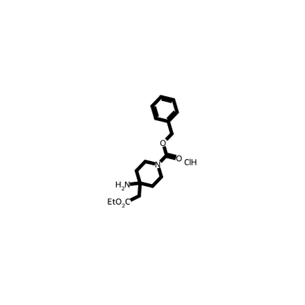 CCOC(=O)CC1(N)CCN(C(=O)OCc2ccccc2)CC1.Cl